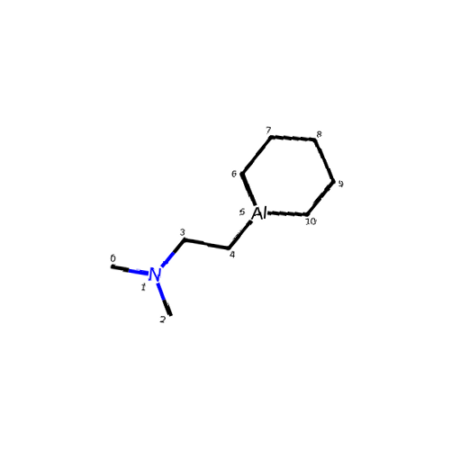 CN(C)C[CH2][Al]1[CH2]CCC[CH2]1